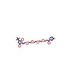 C[C@H]1CCN(C(=O)CCOCCOCCOCCOCCN2C(=O)CC(C(C)(C)C)C2=O)C1